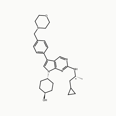 C[C@H](CC1CC1)Nc1ncc2c(-c3ccc(CN4CCOCC4)cc3)cn([C@H]3CC[C@H](O)CC3)c2n1